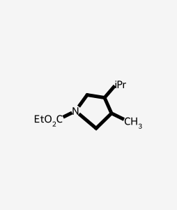 CCOC(=O)N1CC(C)C(C(C)C)C1